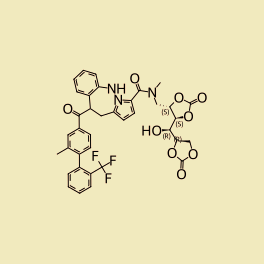 Cc1cc(C(=O)C2Cc3ccc(C(=O)N(C)C[C@@H]4OC(=O)O[C@H]4[C@H](O)[C@H]4COC(=O)O4)n3Nc3ccccc32)ccc1-c1ccccc1C(F)(F)F